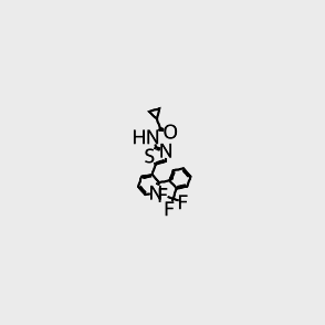 O=C(Nc1ncc(-c2cccnc2-c2ccccc2C(F)(F)F)s1)C1CC1